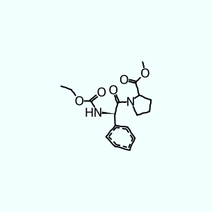 CCOC(=O)N[C@@H](C(=O)N1CCCC1C(=O)OC)c1ccccc1